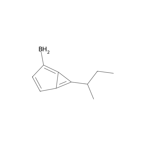 Bc1ccc2c(C(C)CC)c1-2